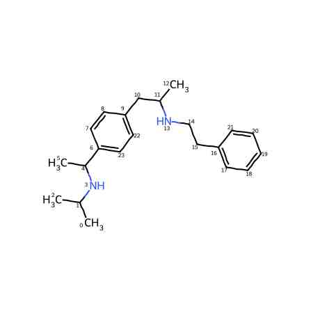 CC(C)NC(C)c1ccc(CC(C)NCCc2ccccc2)cc1